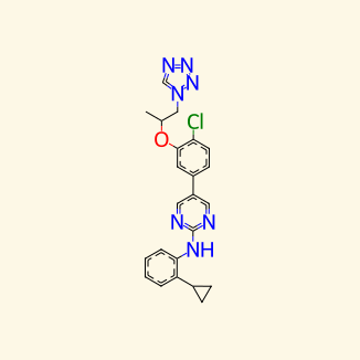 CC(Cn1cnnn1)Oc1cc(-c2cnc(Nc3ccccc3C3CC3)nc2)ccc1Cl